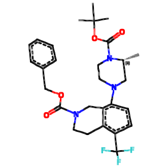 C[C@@H]1CN(c2ccc(C(F)(F)F)c3c2CN(C(=O)OCc2ccccc2)CC3)CCN1C(=O)OC(C)(C)C